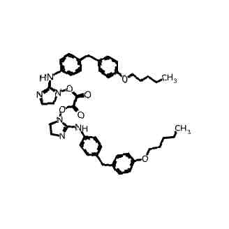 CCCCCOc1ccc(Cc2ccc(NC3=NCCN3OC(=O)C(=O)ON3CCN=C3Nc3ccc(Cc4ccc(OCCCCC)cc4)cc3)cc2)cc1